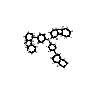 c1ccc2cc(-c3ccc(N(c4ccc(-c5cccc6sc7ncccc7c56)cc4)c4ccc5oc6ccccc6c5c4)cc3)ccc2c1